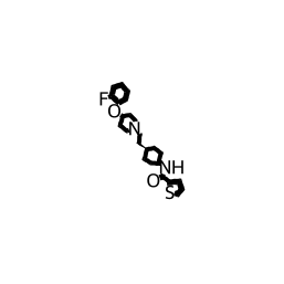 O=C(N[C@H]1CC[C@H](CCN2CCC(Oc3ccccc3F)CC2)CC1)c1cccs1